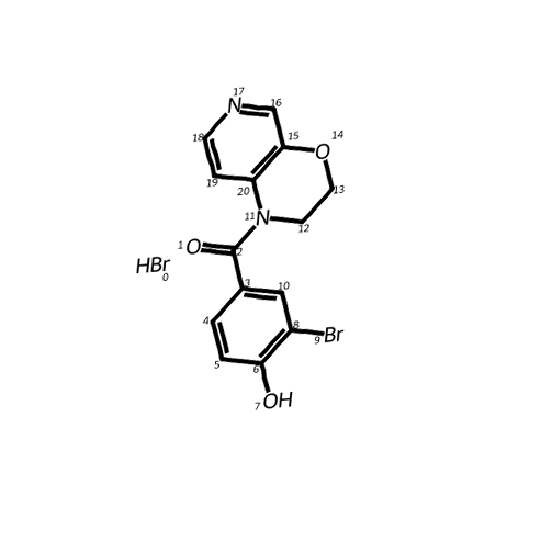 Br.O=C(c1ccc(O)c(Br)c1)N1CCOc2cnccc21